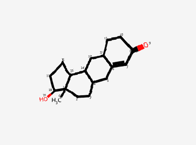 CC12CCC3CC4=CC(=O)CCC4CC3C1CCC2O